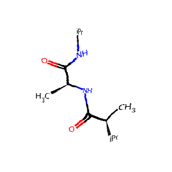 CC(C)NC(=O)[C@H](C)NC(=O)[C@@H](C)C(C)C